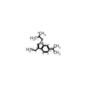 CC(C)Cn1cc(CN)c2ccc(C(C)C)cc21